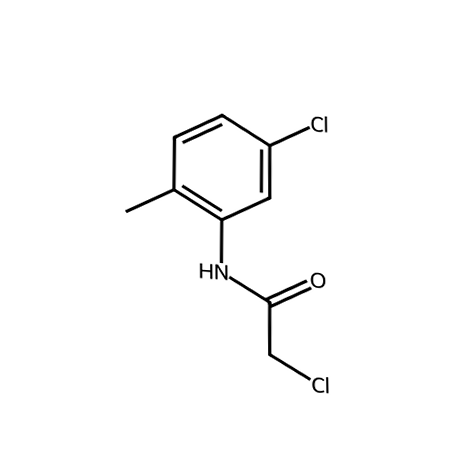 Cc1ccc(Cl)cc1NC(=O)CCl